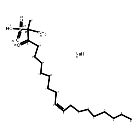 CCCCCCCC/C=C\CCCCCCCC(=O)C(C)(N)S(=O)(=O)O.[NaH]